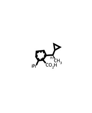 CC(C)c1cccc([C@H](C)C2CC2)c1C(=O)O